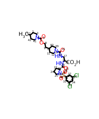 CC1CCN(C(=O)OCCC2CCN(C(=O)NCC(NC(=O)[C@H]3CCCN3S(=O)(=O)c3cc(Cl)cc(Cl)c3)C(=O)O)CC2)CC1